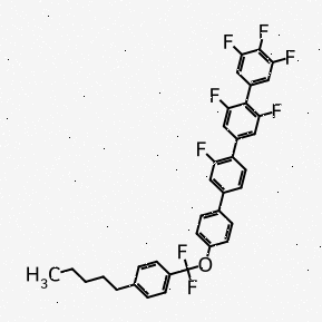 CCCCCc1ccc(C(F)(F)Oc2ccc(-c3ccc(-c4cc(F)c(-c5cc(F)c(F)c(F)c5)c(F)c4)c(F)c3)cc2)cc1